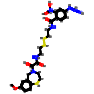 COc1ccc2c(c1)CN(C(=O)C(=O)NCCSSCCNC(=O)c1ccc(N=[N+]=[N-])cc1[N+](=O)[O-])CCS2